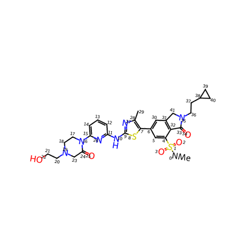 CNS(=O)(=O)c1cc(-c2sc(Nc3cccc(N4CCN(CCO)CC4=O)n3)nc2C)cc2c1C(=O)N(CCC1CC1)C2